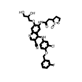 N#Cc1cnc2cc(OCC(O)CO)c(NC(=O)CC3CCS[S+]3[O-])cc2c1Nc1ccc(OCc2cccc(F)c2)c(Cl)c1